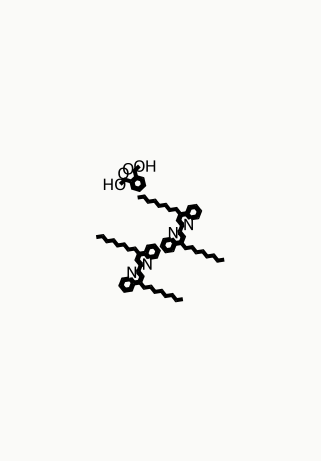 CCCCCCCCc1cc(-c2cc(CCCCCCCC)c3ccccc3n2)nc2ccccc12.CCCCCCCCc1cc(-c2cc(CCCCCCCC)c3ccccc3n2)nc2ccccc12.O=C(O)c1ccccc1C(=O)O